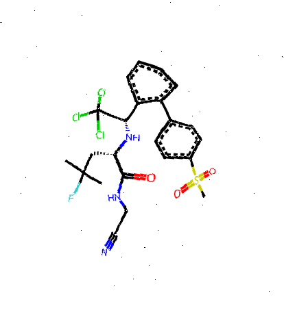 CC(C)(F)C[C@H](N[C@@H](c1ccccc1-c1ccc(S(C)(=O)=O)cc1)C(Cl)(Cl)Cl)C(=O)NCC#N